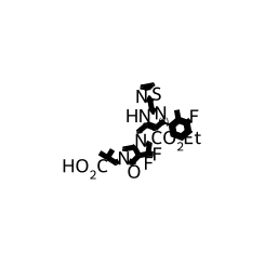 CCOC(=O)C1=C(CN2CC(F)(F)C3C(=O)N(CC(C)(C)C(=O)O)CC32)NC(c2nccs2)=N[C@H]1c1cccc(F)c1C